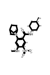 CNc1cc(N2CC3CCC2C3)c(C(=O)N[C@H]2CC[C@H](C)CC2)cc1[N+](=O)[O-]